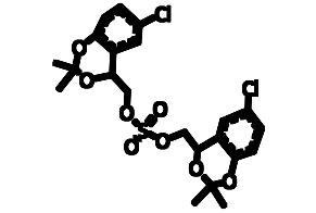 CC1(C)Oc2ccc(Cl)cc2C(COS(=O)(=O)OCC2OC(C)(C)Oc3ccc(Cl)cc32)O1